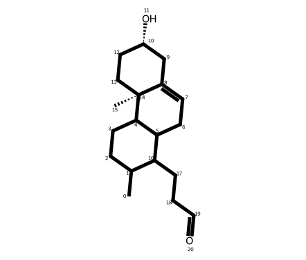 CC1CCC2C(CC=C3C[C@@H](O)CC[C@@]32C)C1CCC=O